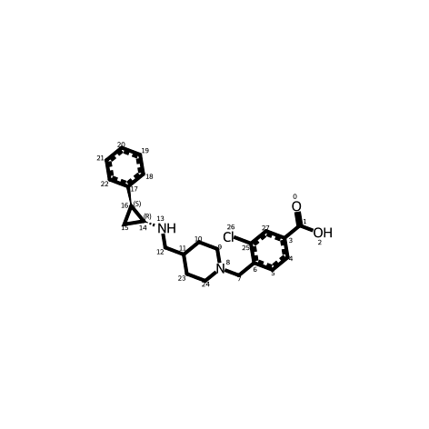 O=C(O)c1ccc(CN2CCC(CN[C@@H]3C[C@H]3c3ccccc3)CC2)c(Cl)c1